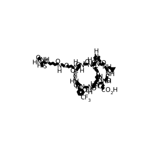 CC[C@@H]1NC(=O)[C@H]2Cc3cn(nn3)CCC[C@@H](NC(=O)[C@H](C)NC(=O)[C@H](NC(=O)CCOCCNC(=O)CCCC[C@@H]3SC[C@@H]4NC(=O)N[C@@H]43)CCCCNC(=O)[C@H](Cc3ccc(C(F)(F)F)cc3)NC1=O)C(=O)N[C@@H](Cc1c[nH]cn1)C(=O)N[C@@H](CC1CC1)C(=O)NCC(=O)N[C@@H](CCC(=O)O)C(=O)N2